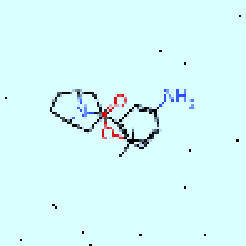 CC(C)(C)OC(=O)N1C2CCC1CC(c1cccc(N)c1)C2